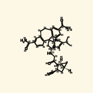 CC(C)c1nnc(C2(C[C@@H](C)NCC(=O)N3[C@H](C#N)C[C@@H]4C[C@@H]43)c3ccc(C(N)=O)cc3CCc3cc(C(N)=O)ccc32)[nH]1